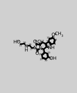 COc1ccc2[nH]c3c(c2c1)CC1(C)C(=O)N(CCNCCO)C(=O)N1C3c1cccc(O)c1